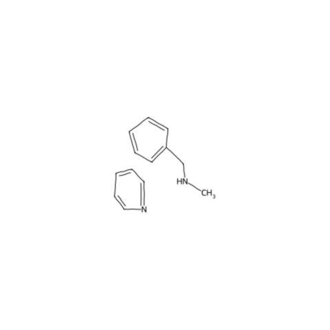 CNCc1ccccc1.c1ccncc1